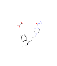 CCC/C=C(/CCCN1CCN(C(=O)NCC)CC1)c1ccc(F)cc1.O=C(O)C(=O)O